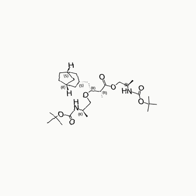 C[C@H](COC(=O)[C@H](C)[C@@H](C[C@@H]1C[C@@H]2CC[C@@H](C2)C1)OC[C@@H](C)NC(=O)OC(C)(C)C)NC(=O)OC(C)(C)C